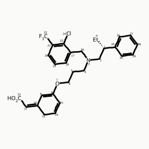 CC[C@@H](CN(CCCOC1=CC(=CC(=O)O)CC=C1)Cc1cccc(C(F)(F)F)c1Cl)c1ccccc1